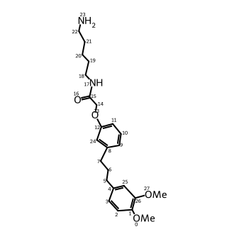 COc1ccc(CCCc2cccc(OCC(=O)NCCCCCN)c2)cc1OC